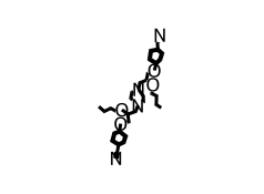 CCCCOC(COc1ccc(C#N)cc1)CN1CCN(CC(COc2ccc(C#N)cc2)OCCCC)CC1